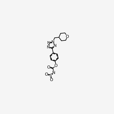 O=C(N=S(=O)=O)Oc1ccc(-c2nnn(CC3CCOCC3)n2)cc1